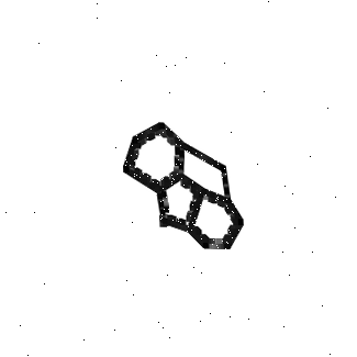 c1cc2c3c(c1)sc1cccc(c13)C2